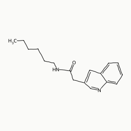 CCCCCCNC(=O)Cc1cnc2ccccc2c1